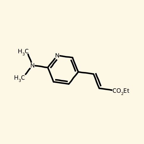 CCOC(=O)C=Cc1ccc(N(C)C)nc1